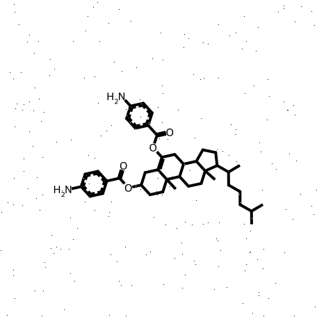 CC(C)CCCC(C)C1CCC2C3CC(OC(=O)c4ccc(N)cc4)=C4CC(OC(=O)c5ccc(N)cc5)CCC4(C)C3CCC12C